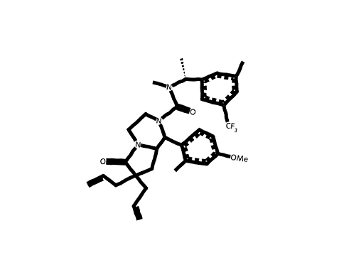 C=CCC1(CC=C)CC2C(c3ccc(OC)cc3C)N(C(=O)N(C)[C@H](C)c3cc(C)cc(C(F)(F)F)c3)CCN2C1=O